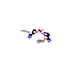 CCCCCCOc1nsnc1C1=CCCN(OC(=O)C(=O)ON2CCC=C(c3nsnc3OCCCCCC)C2)C1